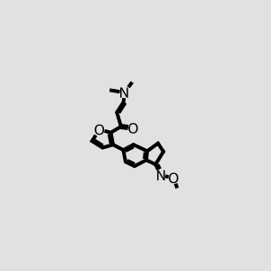 CON=C1CCc2cc(-c3ccoc3C(=O)C=CN(C)C)ccc21